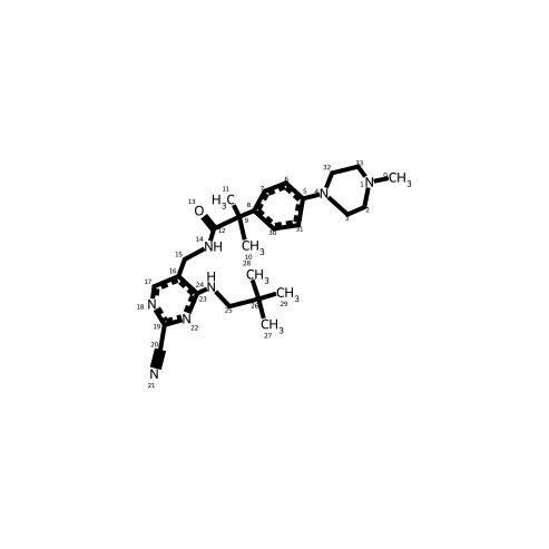 CN1CCN(c2ccc(C(C)(C)C(=O)NCc3cnc(C#N)nc3NCC(C)(C)C)cc2)CC1